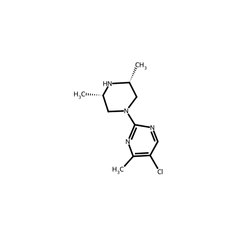 Cc1nc(N2C[C@@H](C)N[C@@H](C)C2)ncc1Cl